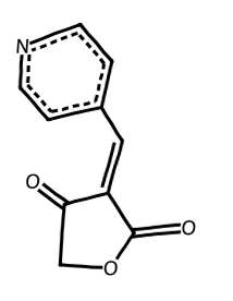 O=C1COC(=O)C1=Cc1ccncc1